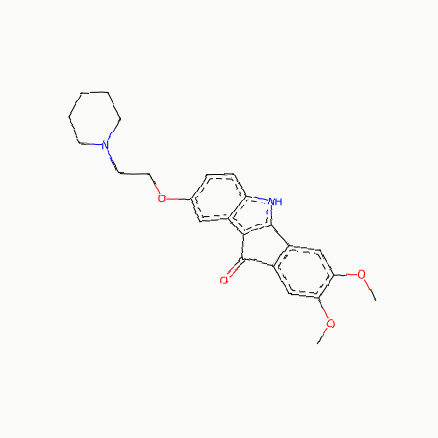 COc1cc2c(cc1OC)-c1[nH]c3ccc(OCCN4CCCCC4)cc3c1C2=O